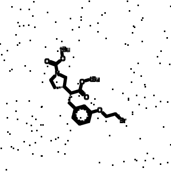 CC(C)(C)OC(=O)[C@H](Cc1cccc(OCCBr)c1)[C@@H]1CCN(C(=O)OC(C)(C)C)C1